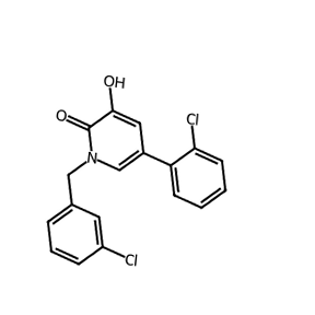 O=c1c(O)cc(-c2ccccc2Cl)cn1Cc1cccc(Cl)c1